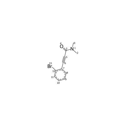 CN(C)C(=O)C#Cc1ccccc1Br